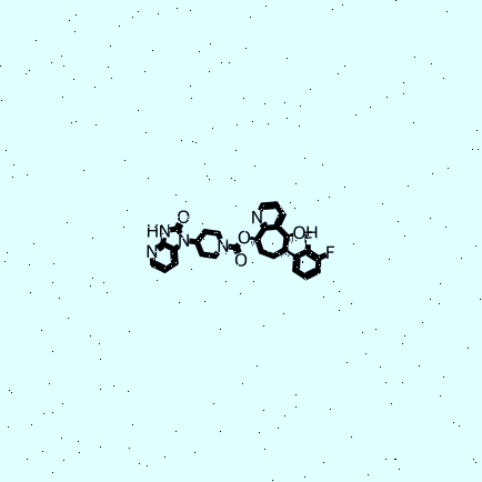 O=C(O[C@@H]1CC[C@H](c2cccc(F)c2F)[C@H](O)c2cccnc21)N1CCC(n2c(=O)[nH]c3ncccc32)CC1